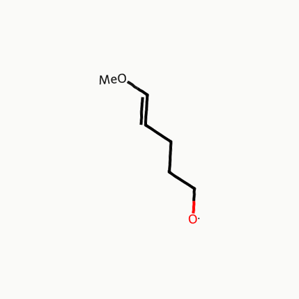 COC=CCCC[O]